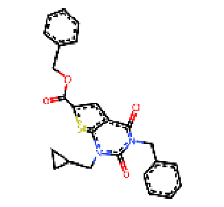 O=C(OCc1ccccc1)c1cc2c(=O)n(Cc3ccccc3)c(=O)n(CC3CC3)c2s1